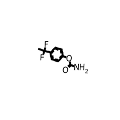 CC(F)(F)c1ccc(OC(N)=O)cc1